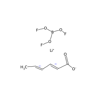 C/C=C/C=C/C(=O)[O-].FOB(OF)OF.[Li+]